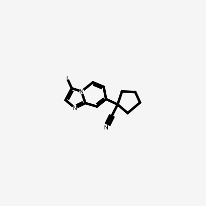 N#CC1(c2ccn3c(I)cnc3c2)CCCC1